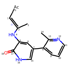 CC(=O)/C=C(\C)Nc1cc(-c2cccnc2C)c[nH]c1=O